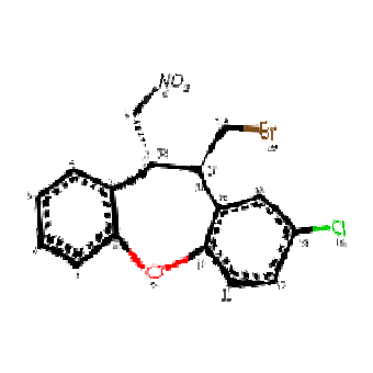 O=[N+]([O-])C[C@H]1c2ccccc2Oc2ccc(Cl)cc2[C@@H]1CBr